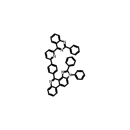 c1ccc(-c2nc(-c3cccc(-c4ccc(-c5nc6ccccc6c6ccc7c(nc(-c8ccccc8)n7-c7ccccc7)c56)cc4)n3)c3ccccc3n2)cc1